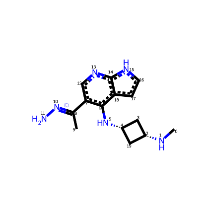 CN[C@H]1C[C@@H](Nc2c(/C(C)=N/N)cnc3[nH]ccc23)C1